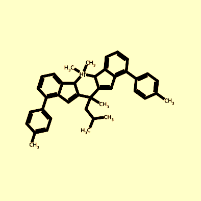 Cc1ccc(-c2cccc3c2C=C2[CH]3[Hf]([CH3])([CH3])[CH]3C(=Cc4c(-c5ccc(C)cc5)cccc43)C2(C)CC(C)C)cc1